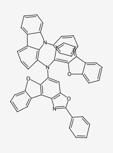 c1ccc(-c2nc3c(cc(N(c4cccc5c4oc4ccccc45)c4cccc5c6ccccc6n(-c6ccccc6)c45)c4oc5ccccc5c43)o2)cc1